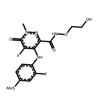 CSc1ccc(Nc2c(C(=O)NOCCO)nn(C)c(=O)c2F)c(F)c1